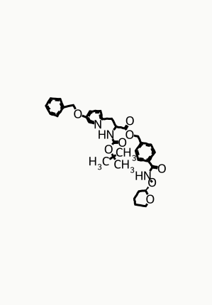 CC(C)(C)OC(=O)NC(Cc1ccc(OCc2ccccc2)cn1)C(=O)OCc1ccc(C(=O)NO[C@@H]2CCCCO2)cc1